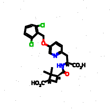 CC1(C)[C@@H](C(=O)N[C@@H](Cc2ccc(OCc3c(Cl)cccc3Cl)cn2)C(=O)O)C[C@H]1C(=O)O